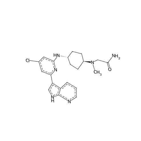 CN(CC(N)=O)[C@H]1CC[C@H](Nc2cc(Cl)cc(-c3c[nH]c4ncccc34)n2)CC1